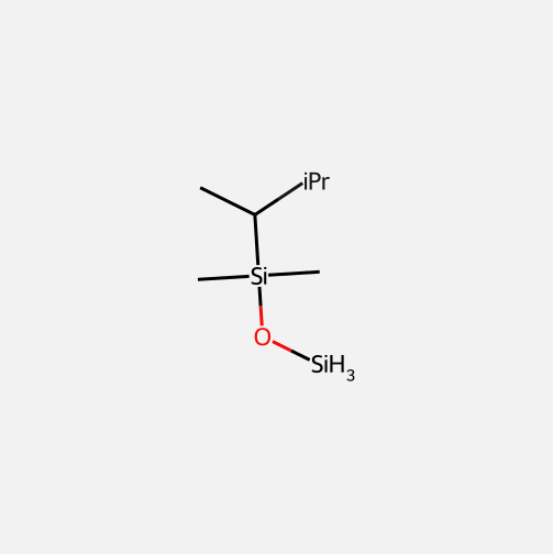 CC(C)C(C)[Si](C)(C)O[SiH3]